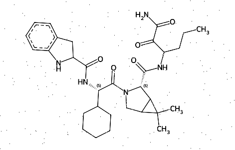 CCCC(NC(=O)[C@@H]1C2C(CN1C(=O)[C@@H](NC(=O)C1Cc3ccccc3N1)C1CCCCC1)C2(C)C)C(=O)C(N)=O